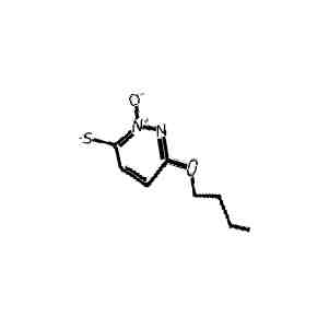 CCCCOc1ccc([S])[n+]([O-])n1